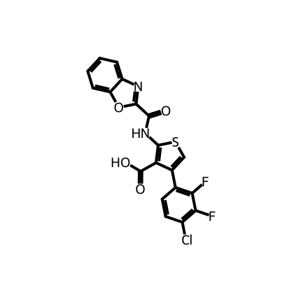 O=C(Nc1scc(-c2ccc(Cl)c(F)c2F)c1C(=O)O)c1nc2ccccc2o1